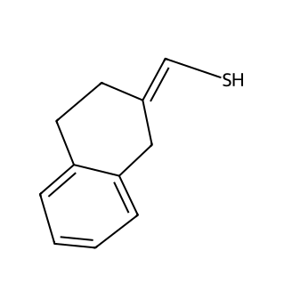 SC=C1CCc2ccccc2C1